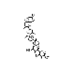 CCC1(C2OC(C3OC4(COC(=O)CO4)C(C)CC3C)CC2C)CCC(C2(C)CCC3(CC(O)C(C)C(C(C)C(OC)C(C)C(=O)OC)O3)O2)O1